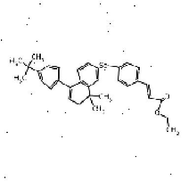 CCOC(=O)C=Cc1ccc([Se]c2ccc3c(c2)C(C)(C)CC=C3c2ccc(C(C)(C)C)cc2)cc1